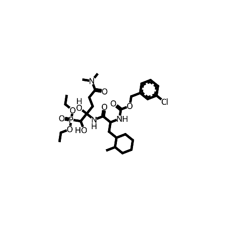 CCOP(=O)(OCC)C(O)C(O)(CCC(=O)N(C)C)NC(=O)C(CC1CCCCC1C)NC(=O)OCc1cccc(Cl)c1